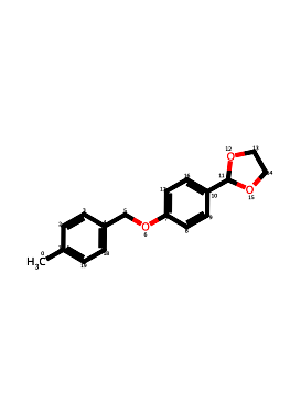 Cc1ccc(COc2ccc(C3OCCO3)cc2)cc1